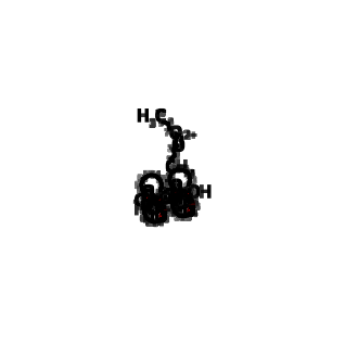 CCCC[O][Ti+2][O]CCCC.O=C([O-])[C@]1([C@@]2([C@H](O)[C@H](O)CO)CCCCCCCCO2)CCCCCCCCO1.O=C([O-])[C@]1([C@@]2([C@H](O)[C@H](O)CO)CCCCCCCCO2)CCCCCCCCO1